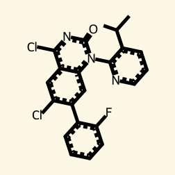 CC(C)c1cccnc1-n1c(=O)nc(Cl)c2cc(Cl)c(-c3ccccc3F)cc21